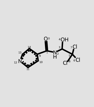 O=C(NC(O)C(Cl)(Cl)Cl)c1ccncc1